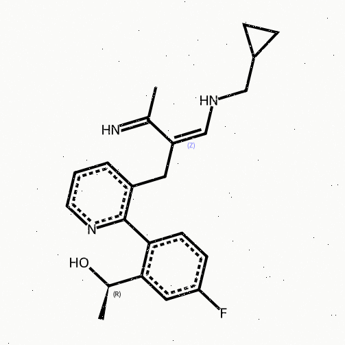 CC(=N)/C(=C\NCC1CC1)Cc1cccnc1-c1ccc(F)cc1[C@@H](C)O